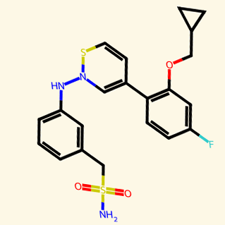 NS(=O)(=O)Cc1cccc(NN2C=C(c3ccc(F)cc3OCC3CC3)C=CS2)c1